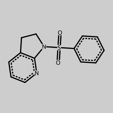 O=S(=O)(c1ccccc1)N1CCc2cccnc21